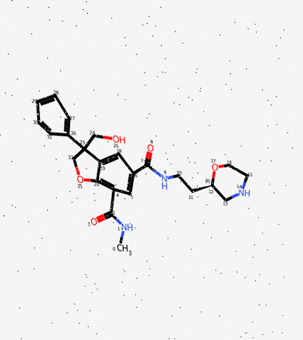 CNC(=O)c1cc(C(=O)NCC[C@@H]2CNCCO2)cc2c1OCC2(CO)c1ccccc1